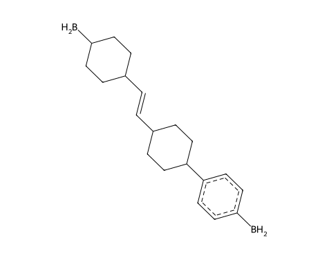 Bc1ccc(C2CCC(C=CC3CCC(B)CC3)CC2)cc1